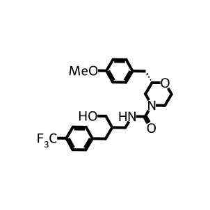 COc1ccc(C[C@H]2CN(C(=O)NCC(CO)Cc3ccc(C(F)(F)F)cc3)CCO2)cc1